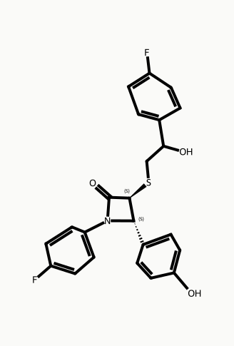 O=C1[C@@H](SCC(O)c2ccc(F)cc2)[C@H](c2ccc(O)cc2)N1c1ccc(F)cc1